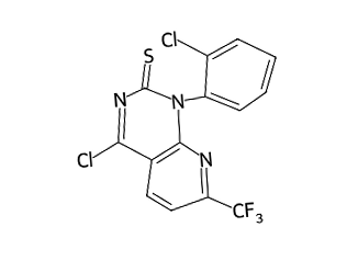 FC(F)(F)c1ccc2c(Cl)nc(=S)n(-c3ccccc3Cl)c2n1